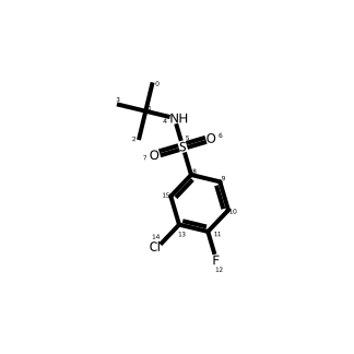 CC(C)(C)NS(=O)(=O)c1ccc(F)c(Cl)c1